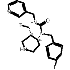 O=C(NCc1cccnc1)N(Cc1ccc(F)cc1)[C@@H]1CCNC[C@@H]1CF